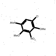 CNc1cc(Cl)c(OC)c([N+](=O)[O-])c1OC